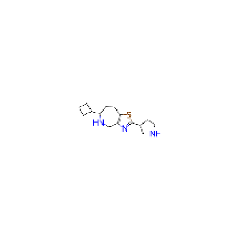 C1CC(C2CCc3sc(C4CCNC4)nc3CN2)C1